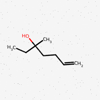 C=CCCC(C)(O)CC